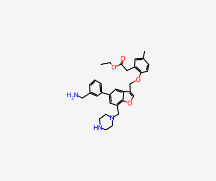 CCOC(=O)Cc1cc(C)ccc1OCc1coc2c(CN3CCNCC3)cc(-c3cccc(CN)c3)cc12